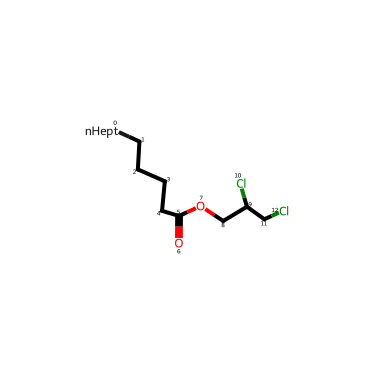 CCCCCCCCCCCC(=O)OCC(Cl)CCl